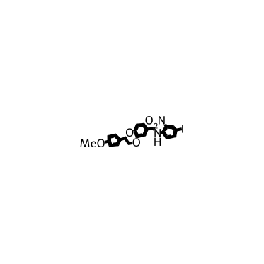 COc1ccc(C2COc3cc(CNc4ccc(I)cc4[N+](=O)[O-])ccc3O2)cc1